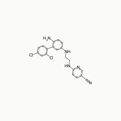 N#Cc1ccc(NCCNc2ccc(N)c(-c3ccc(Cl)cc3Cl)c2)nc1